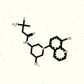 N#Cc1ccc(N2CC(NC(=O)CC(F)(P)I)CC(C(F)(F)F)C2)c2cccnc12